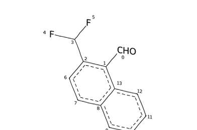 O=Cc1c(C(F)F)ccc2ccccc12